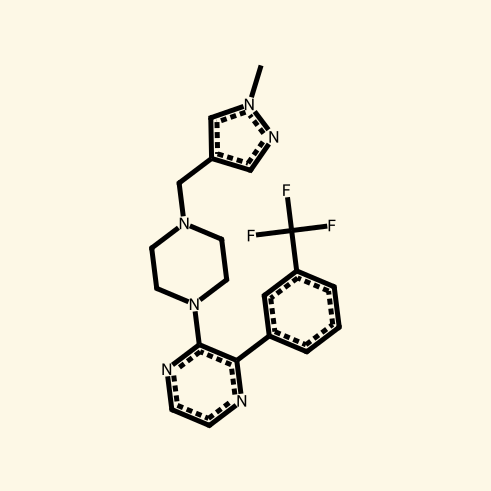 Cn1cc(CN2CCN(c3nccnc3-c3cccc(C(F)(F)F)c3)CC2)cn1